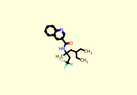 CCC(CC)CC(C)(CC(F)(F)F)NC(=O)c1cnc2ccccc2c1